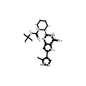 Cc1[nH]ncc1-c1cc2nc([C@@H]3CCCCN3C(=O)OC(C)(C)C)[nH]c(=O)c2s1